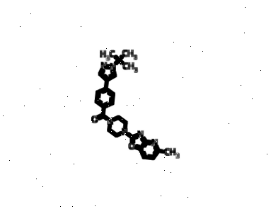 Cc1ccc2oc(N3CCN(C(=O)c4ccc(-c5cnn(C(C)(C)C)c5)cc4)CC3)nc2n1